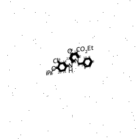 CCOC(=O)c1cn(CC2=CC=CCC2)c(NC2=CC(Cl)C(OC(C)C)CC2)cc1=O